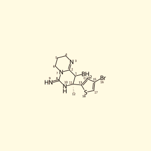 BC1C2=NCCCN2C(=N)N[C@]1(C)c1cc(Br)cs1